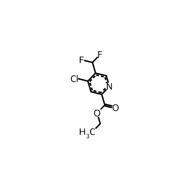 CCOC(=O)c1cc(Cl)c(C(F)F)cn1